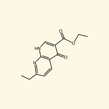 CCOC(=O)c1c[nH]c2nc(CC)ccc2c1=O